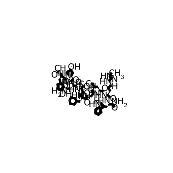 CCCC[C@H](NC(=O)CNC(=O)[C@H](CC1CCCCC1)NC(=O)[C@@H](NC(=O)[C@H](CC(N)=O)NC(=O)[C@@H]1C[C@@H](O)CN1C(=O)[C@@H](Cc1ccc(O)cc1)NC(C)=O)[C@@H](C)O)C(=O)N[C@@H](CCCNC(=N)NC)C(=O)N[C@@H](Cc1c[nH]c2ccccc12)C(N)=O